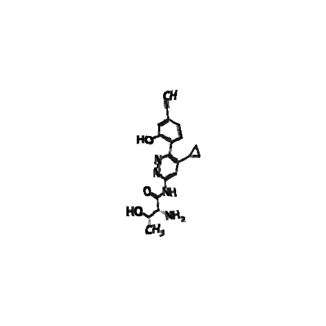 C#Cc1ccc(-c2nnc(NC(=O)[C@H](N)[C@H](C)O)cc2C2CC2)c(O)c1